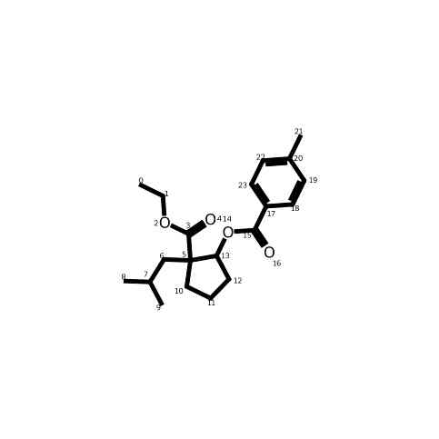 CCOC(=O)C1(CC(C)C)CCCC1OC(=O)c1ccc(C)cc1